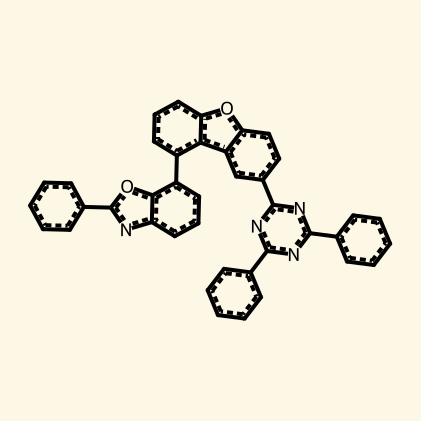 c1ccc(-c2nc(-c3ccccc3)nc(-c3ccc4oc5cccc(-c6cccc7nc(-c8ccccc8)oc67)c5c4c3)n2)cc1